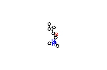 c1ccc(-c2nc(-c3ccccc3)nc(-c3ccc4oc5cc(C6c7ccccc7-c7c(-c8ccccc8)cccc76)ccc5c4c3)n2)cc1